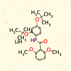 COc1cccc(OC)c1C(=O)Pc1ccc(OC(C)(C)C)cc1OC(C)(C)C.[LiH]